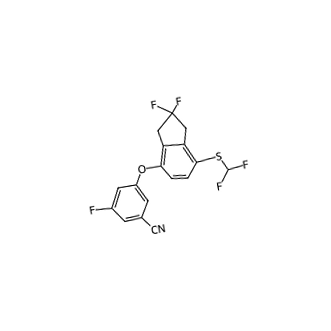 N#Cc1cc(F)cc(Oc2ccc(SC(F)F)c3c2CC(F)(F)C3)c1